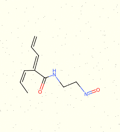 C=C/C=C(\C=C/C)C(=O)NCCN=O